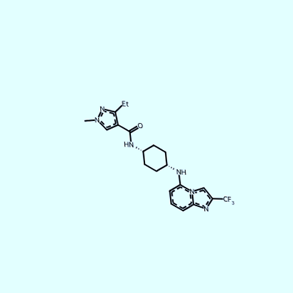 CCc1nn(C)cc1C(=O)N[C@H]1CC[C@@H](Nc2cccc3nc(C(F)(F)F)cn23)CC1